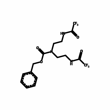 O=C(OCc1ccccc1)N(CCNC(=O)C(F)(F)F)CCNC(=O)C(F)(F)F